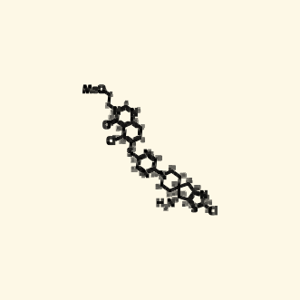 COCCn1cnc2ccc(Sc3cnc(N4CCC5(CC4)Cc4nc(Cl)sc4[C@@H]5N)cn3)c(Cl)c2c1=O